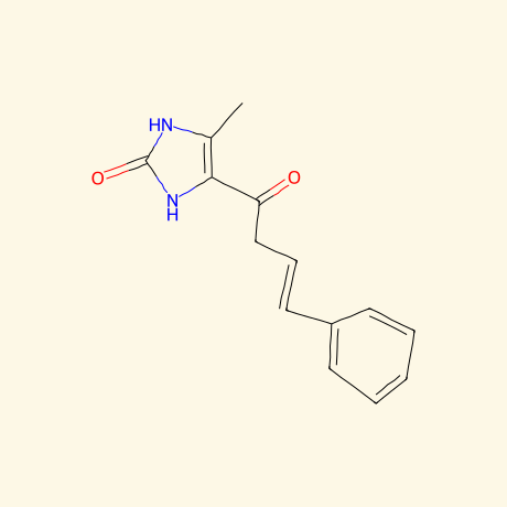 Cc1[nH]c(=O)[nH]c1C(=O)CC=Cc1ccccc1